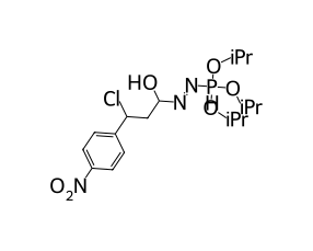 CC(C)O[PH](N=NC(O)CC(Cl)c1ccc([N+](=O)[O-])cc1)(OC(C)C)OC(C)C